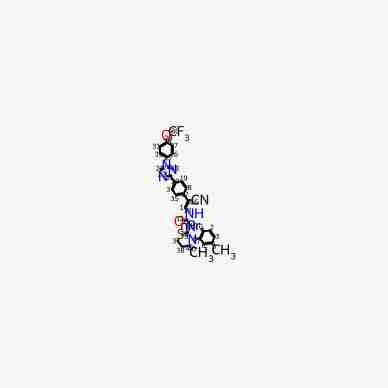 CCCc1ccc(C)cc1N1/C(=N/C(=O)N/C=C(\C#N)c2ccc(-c3ncn(-c4ccc(OC(F)(F)F)cc4)n3)cc2)SCCC1C